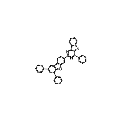 c1ccc(-c2cc(-c3ccccc3)c3oc4cc(-c5nc(-c6ccccc6)c6sc7ccccc7c6n5)ccc4c3c2)cc1